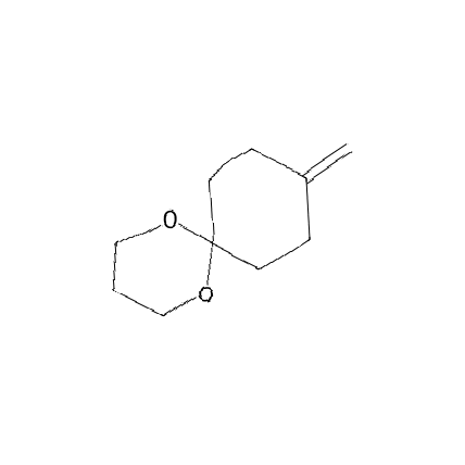 C=C1CCC2(CC1)OCCCO2